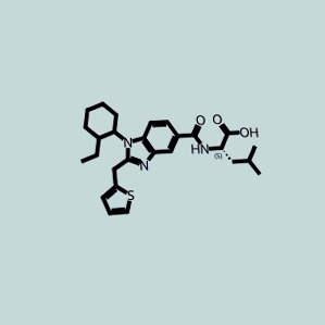 CCC1CCCCC1n1c(Cc2cccs2)nc2cc(C(=O)N[C@@H](CC(C)C)C(=O)O)ccc21